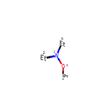 CCN(CC)OC(C)C